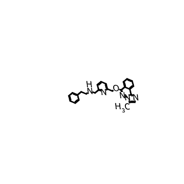 Cc1cnc2c3ccccc3c(OCc3cccc(CNCCc4ccccc4)n3)nn12